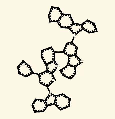 c1ccc(-c2nc(-n3c4ccccc4c4ccccc43)nc3oc4c(-c5cc(-n6c7ccccc7c7cc8ccccc8cc76)cc6oc7ccccc7c56)cccc4c23)cc1